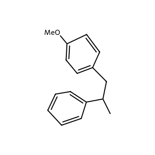 COc1ccc(CC(C)c2ccccc2)cc1